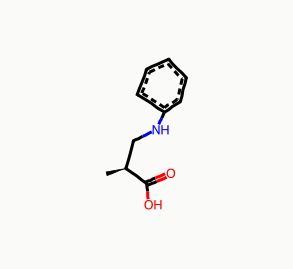 C[C@@H](CNc1ccccc1)C(=O)O